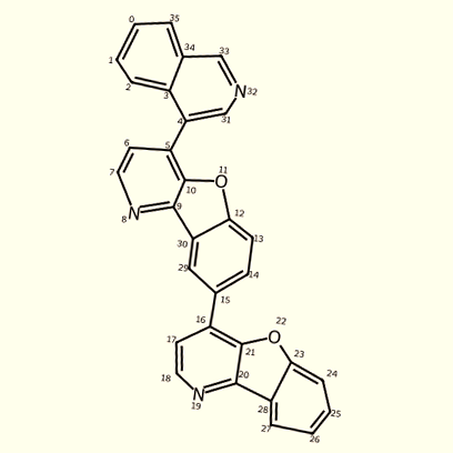 c1ccc2c(-c3ccnc4c3oc3ccc(-c5ccnc6c5oc5ccccc56)cc34)cncc2c1